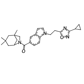 CC1(C)CC2CC(C)(CN2C(=O)c2ccc3c(ccn3CCc3nc(C4CC4)no3)c2)C1